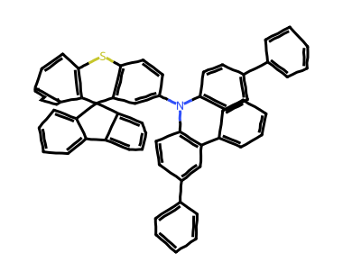 c1ccc(-c2ccc(N(c3ccc4c(c3)C3(c5ccccc5-c5ccccc53)c3c(ccc5ccccc35)S4)c3ccc(-c4ccccc4)cc3-c3ccccc3)cc2)cc1